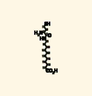 NC(CCS)C(=O)NCCCCCCCCCCC(=O)O